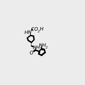 Nc1ccccc1C(=O)NC[C@H]1CC[C@H](NC(=O)O)CC1